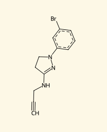 C#CCNC1=NN(c2cccc(Br)c2)CC1